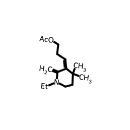 C=C1/C(=C\CCOC(C)=O)C(C)(C)CCN1CC